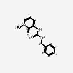 O=C(Nc1cccn(O)c1=O)OCc1ccccc1